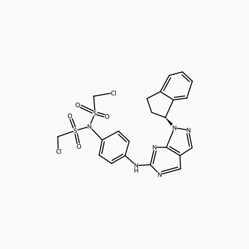 O=S(=O)(CCl)N(c1ccc(Nc2ncc3cnn([C@H]4CCc5ccccc54)c3n2)cc1)S(=O)(=O)CCl